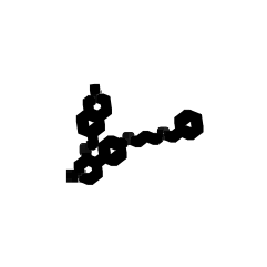 CN1CCc2cc(COC3CNCCC3c3ccc(OCCCOCc4ccccc4)cc3)ccc2C1